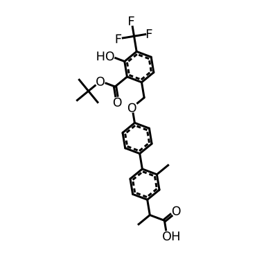 Cc1cc(C(C)C(=O)O)ccc1-c1ccc(OCc2ccc(C(F)(F)F)c(O)c2C(=O)OC(C)(C)C)cc1